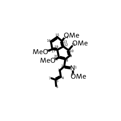 CON=C(CC=C(C)C)c1cc(OC)c2c(OC)ccc(OC)c2c1OC